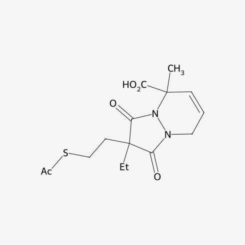 CCC1(CCSC(C)=O)C(=O)N2CC=CC(C)(C(=O)O)N2C1=O